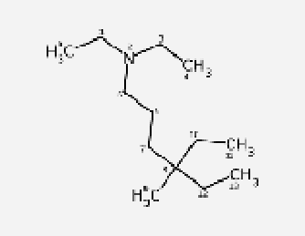 CCN(CC)CCCC(C)(CC)CC